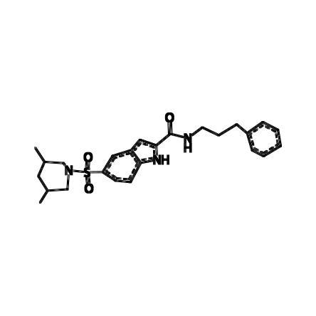 CC1CC(C)CN(S(=O)(=O)c2ccc3[nH]c(C(=O)NCCCc4ccccc4)cc3c2)C1